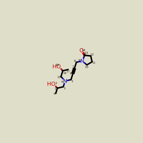 CC(O)CN(CC#CCN1CCCC1=O)CC(C)O